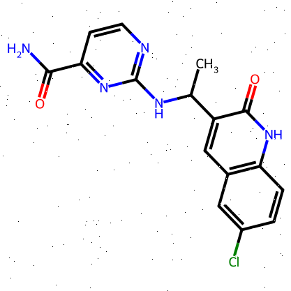 CC(Nc1nccc(C(N)=O)n1)c1cc2cc(Cl)ccc2[nH]c1=O